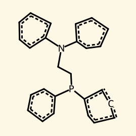 c1ccc(N(CCP(c2ccccc2)c2ccccc2)c2ccccc2)cc1